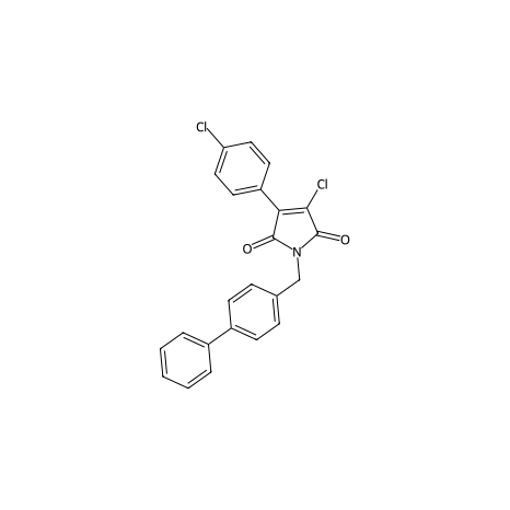 O=C1C(Cl)=C(c2ccc(Cl)cc2)C(=O)N1Cc1ccc(-c2ccccc2)cc1